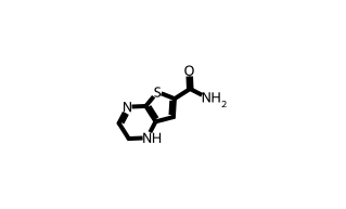 NC(=O)c1cc2c(s1)N=CCN2